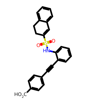 O=C(O)c1ccc(C#Cc2ccccc2NS(=O)(=O)C2=Cc3ccccc3CC2)cc1